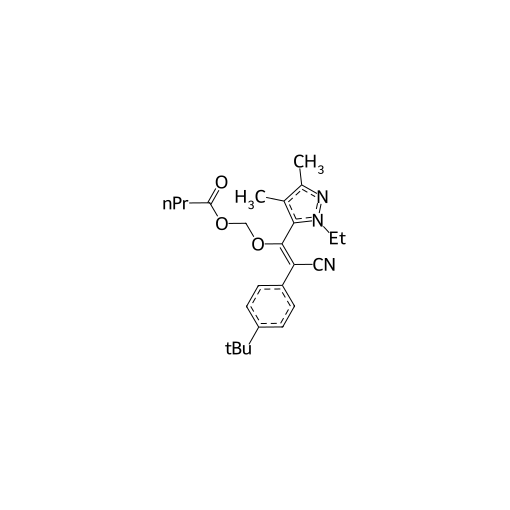 CCCC(=O)OCO/C(=C(/C#N)c1ccc(C(C)(C)C)cc1)c1c(C)c(C)nn1CC